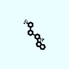 CN(C)c1cccc(-c2cccc(-c3ccc4c(c3)c3ccc5ccccc5c3n4C)c2)c1